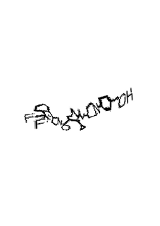 O=C(c1cnn(C2CCN(c3ccc(CO)cc3)CC2)c1C1CC1)N1CCC(c2ccccc2C(F)(F)F)C1